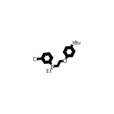 CCN(CCOc1ccc(C(C)(C)C)cc1)c1cccc(Cl)c1